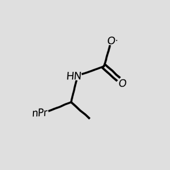 CCCC(C)NC([O])=O